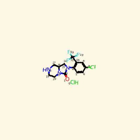 Cl.O=C1N(c2ccc(Cl)cc2C(F)(F)F)CC2CNCCN12